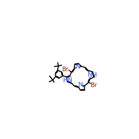 CC(C)(C)c1cc(-c2cc3cc4nc(c(Br)c5ccc(cc6nc(c(Br)c2[nH]3)C=C6)[nH]5)C=C4)cc(C(C)(C)C)c1